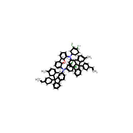 C=CC1=CCC(C2(C3CC(C)=CC=C3C)c3ccccc3-c3ccc(N(C4=CCC(F)C(F)=C4)C4=CC=CC5C4OC4C(N(C6C=CC7c8ccccc8C(C8=CCC(C=C)C=C8)(C8CC(C)=CC=C8C)C7C6)C6CCC(F)=C(F)C6)=CC=CC45)cc32)CC1